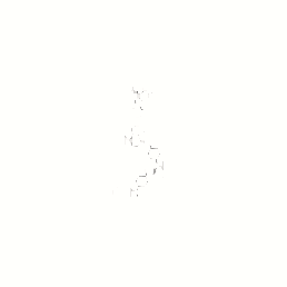 CC(C)(C)OC(=O)N1CC=C(c2cc3nccc(Oc4ccc(NC(=O)Oc5ccc([N+](=O)[O-])cc5)cc4F)c3s2)CC1